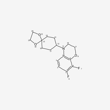 Fc1ccc2c(c1F)OCCN2C1CCC2(CC1)OCCO2